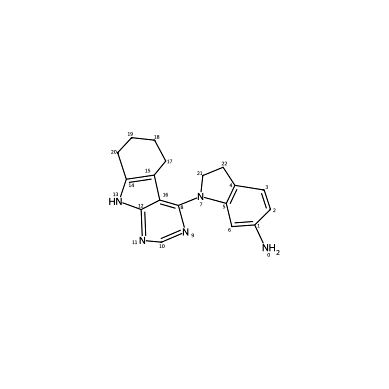 Nc1ccc2c(c1)N(c1ncnc3[nH]c4c(c13)CCCC4)CC2